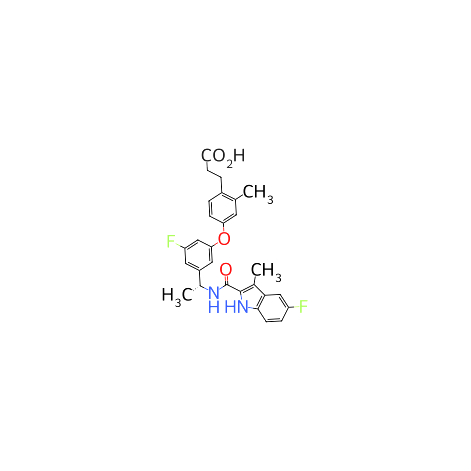 Cc1cc(Oc2cc(F)cc([C@@H](C)NC(=O)c3[nH]c4ccc(F)cc4c3C)c2)ccc1CCC(=O)O